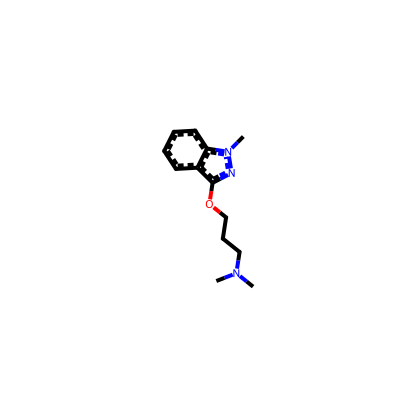 CN(C)CCCOc1nn(C)c2ccccc12